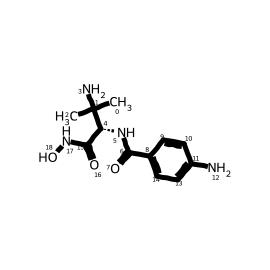 CC(C)(N)[C@H](NC(=O)c1ccc(N)cc1)C(=O)NO